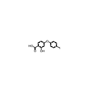 O=C(O)c1ccc(Oc2ccc(I)cc2)cc1O